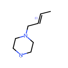 C/C=C/CN1CC[N]CC1